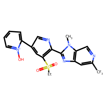 CCS(=O)(=O)c1cc(-c2cccc[n+]2O)cnc1-c1nc2cc(C(F)(F)F)ncc2n1C